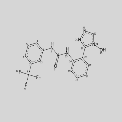 O=C(Nc1cccc(C(F)(F)F)c1)Nc1ccccc1-c1nncn1O